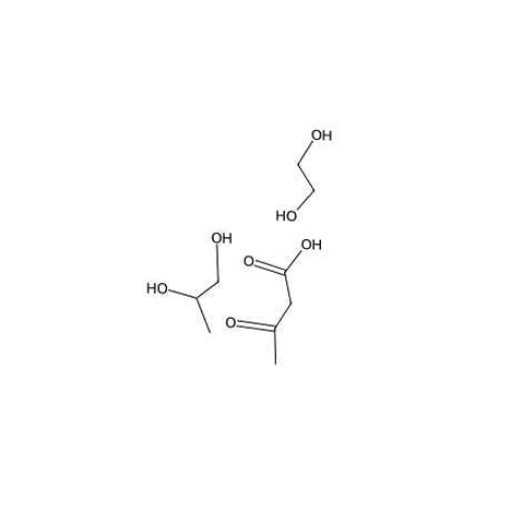 CC(=O)CC(=O)O.CC(O)CO.OCCO